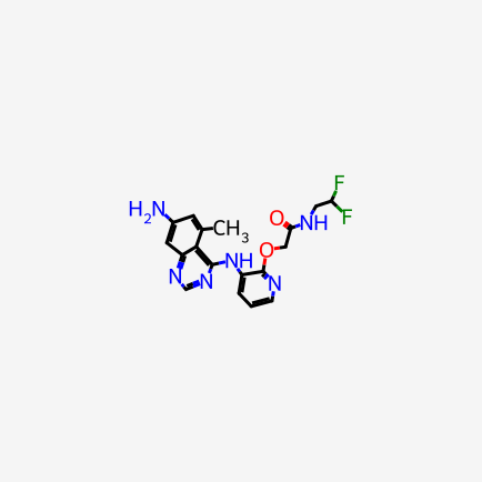 Cc1cc(N)cc2ncnc(Nc3cccnc3OCC(=O)NCC(F)F)c12